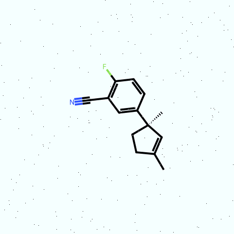 CC1=C[C@](C)(c2ccc(F)c(C#N)c2)CC1